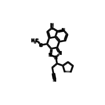 COC1c2nn(C(CC#N)C3CCCC3)nc2-c2ccnc3[nH]cc1c23